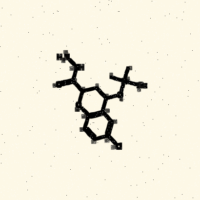 CC(C)(C)[Si](C)(C)OC1CC(C(=O)NN)Oc2ccc(Cl)cc21